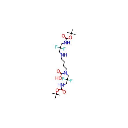 CC(C)(C)OC(=O)NCC(F)(F)CNCCCCN(CC(F)(F)CNC(=O)OC(C)(C)C)C(=O)O